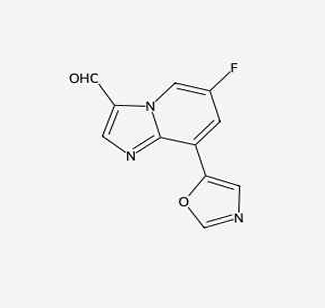 O=Cc1cnc2c(-c3cnco3)cc(F)cn12